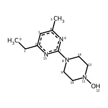 CCc1cc(C)nc(N2CCN(O)CC2)n1